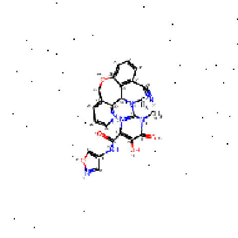 CN(c1nc(C(=O)Nc2cnoc2)c(O)c(=O)n1C)C1c2ncccc2COc2cccc(C#N)c21